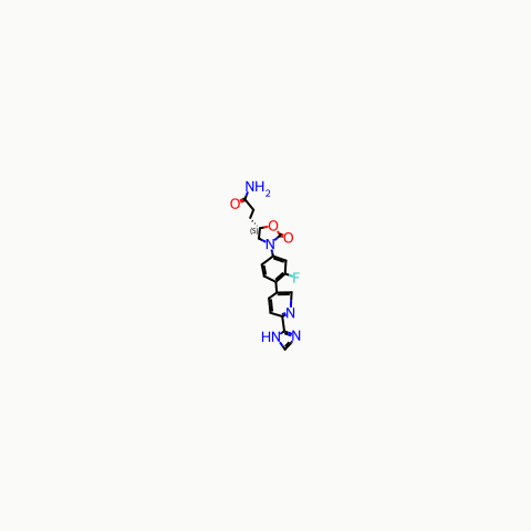 NC(=O)CC[C@H]1CN(c2ccc(-c3ccc(-c4ncc[nH]4)nc3)c(F)c2)C(=O)O1